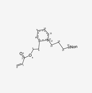 C=CC(=O)OCCc1cccc[n+]1CCCCCCCCCCCC